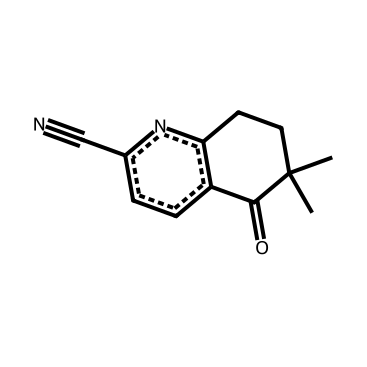 CC1(C)CCc2nc(C#N)ccc2C1=O